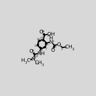 CCOC(=O)Nc1cc(NC(=O)N(C)C)ccc1C(=O)O